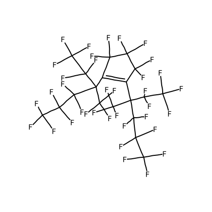 FC(F)(F)C(F)(F)C(F)(F)C(C1=C(C(C(F)(F)F)(C(F)(F)C(F)(F)F)C(F)(F)C(F)(F)C(F)(F)F)C(F)(F)C(F)(F)C1(F)F)(C(F)(F)F)C(F)(F)C(F)(F)F